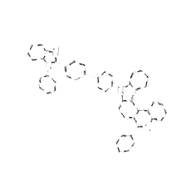 c1ccc(-c2nc3ccccc3c3c2ccc2c3c3ccccc3n2-c2ccc(-c3ccc(-c4nc5ccccc5n4-c4ccccc4)cc3)cc2)cc1